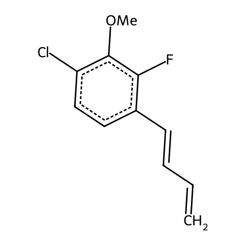 C=C/C=C/c1ccc(Cl)c(OC)c1F